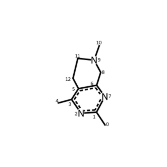 Cc1nc(C)c2c(n1)CN(C)CC2